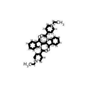 CC[n+]1ccc(C(=O)N2/C(=C3\C(=O)c4ccccc4N3C(=O)c3cc[n+](CC)cc3)C(=O)c3ccccc32)cc1